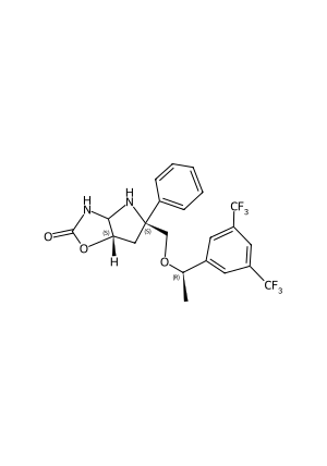 C[C@@H](OC[C@@]1(c2ccccc2)C[C@@H]2OC(=O)NC2N1)c1cc(C(F)(F)F)cc(C(F)(F)F)c1